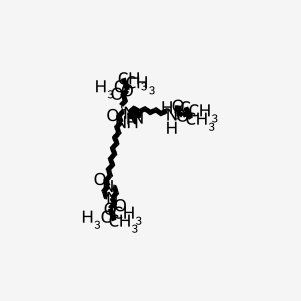 CC(C)(C)OC(=O)CC[C@@H](C(=O)NCCCCCCCCCCC(=O)N1CCN(C(=O)OC(C)(C)C)CC1)n1cc(CCCCCNC(=O)OC(C)(C)C)nn1